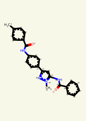 Cc1ccc(C(=O)Nc2ccc(-c3cc(NC(=O)c4ccccc4)n(C)n3)cc2)cc1